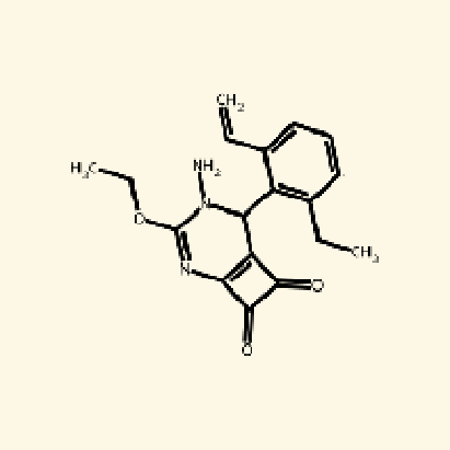 C=Cc1cc[c]c(CC)c1C1c2c(c(=O)c2=O)N=C(OCC)N1N